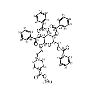 CC(C)(C)OC(=O)N1CCN(CCOC2OC(COC(=O)c3ccccc3)C(OC(=O)c3ccccc3)C(OC(=O)c3ccccc3)C2OC(=O)c2ccccc2)CC1